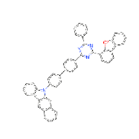 c1ccc(-c2nc(-c3ccc(-c4ccc(-n5c6ccccc6c6cc7ccccc7cc65)cc4)cc3)nc(-c3cccc4c3oc3ccccc34)n2)cc1